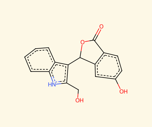 O=C1OC(c2c(CO)[nH]c3ccccc23)c2cc(O)ccc21